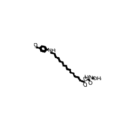 O=[C]c1ccc(NCCCCCCCCCCCCCCCC(=O)OC(=O)NO)cc1